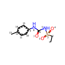 CCS(=O)(=O)NC(=O)Nc1ccc(C)cc1